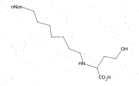 CCCCCCCCCCCCCCCCNC(CCO)C(=O)O